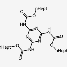 CCCCCCCOC(=O)Nc1nc(NC(=O)OCCCCCCC)nc(NC(=O)OCCCCCCC)n1